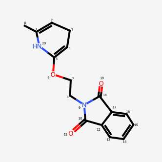 CC1=CCC=C(OCCN2C(=O)c3ccccc3C2=O)N1